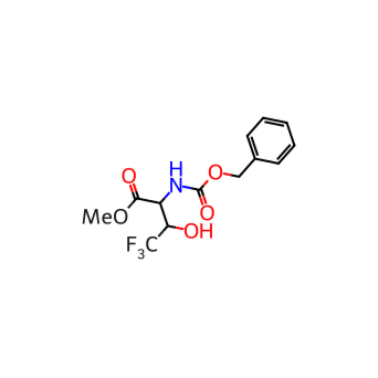 COC(=O)C(NC(=O)OCc1ccccc1)C(O)C(F)(F)F